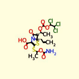 C=CC[C@]12SC(SC(C)OC(N)=O)=C(C(=O)O)N1C(=O)[C@@H]2C(C)OC(=O)OC(Cl)C(Cl)Cl